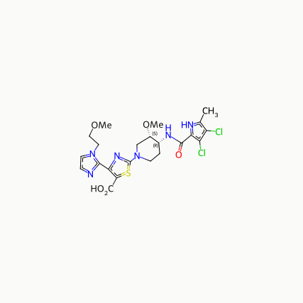 COCCn1ccnc1-c1nc(N2CC[C@@H](NC(=O)c3[nH]c(C)c(Cl)c3Cl)[C@@H](OC)C2)sc1C(=O)O